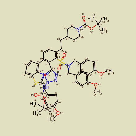 COc1ccc(CN(Cc2ccc(OC)cc2)S(=O)(=O)c2c(CCC3CCN(C(=O)OC(C)(C)C)CC3)ccc(-c3cccc4sc(NC(=O)OC(C)(C)C)nc34)c2-c2nnn(Cc3ccc(OC)cc3)n2)cc1